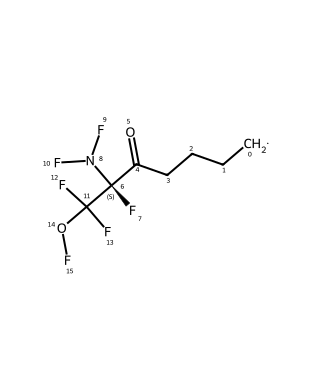 [CH2]CCCC(=O)[C@@](F)(N(F)F)C(F)(F)OF